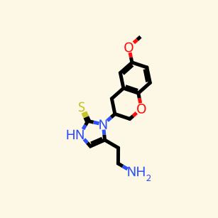 COc1ccc2c(c1)CC(n1c(CCN)c[nH]c1=S)CO2